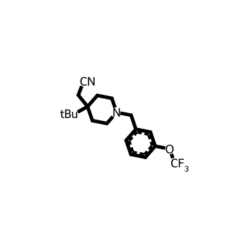 CC(C)(C)C1(CC#N)CCN(Cc2cccc(OC(F)(F)F)c2)CC1